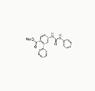 COC(=O)c1ccc(NC(=O)Nc2ccccc2)cc1-c1ccccc1